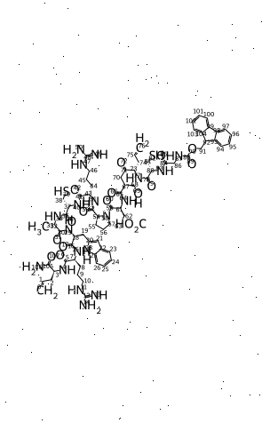 C=CC[C@H](NC(=O)[C@H](CCCNC(=N)N)NC(=O)[C@H](Cc1cc2ccccc2[nH]1)NC(=O)[C@H](C)NC(=O)[C@H](CS)NC(=O)[C@H](CCCNC(=N)N)NC(=O)C1CCCN1C(=O)[C@H](CC(=O)O)NC(=O)[C@H](CO)CC(=O)[C@H](CC=C)NC(=O)[C@H](CS)NC(=O)CNC(=O)OCC1c2ccccc2-c2ccccc21)C(N)=O